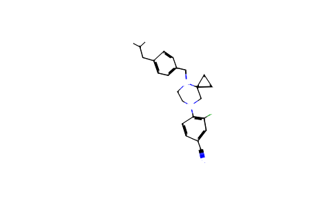 CC(C)Cc1ccc(CN2CCN(c3ccc(C#N)cc3F)CC23CC3)cc1